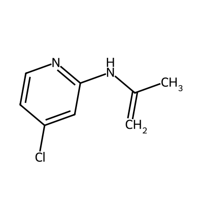 C=C(C)Nc1cc(Cl)ccn1